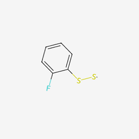 Fc1ccccc1S[S]